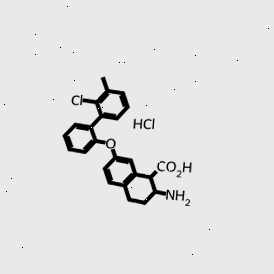 Cc1cccc(-c2ccccc2Oc2ccc3c(c2)C(C(=O)O)C(N)CC3)c1Cl.Cl